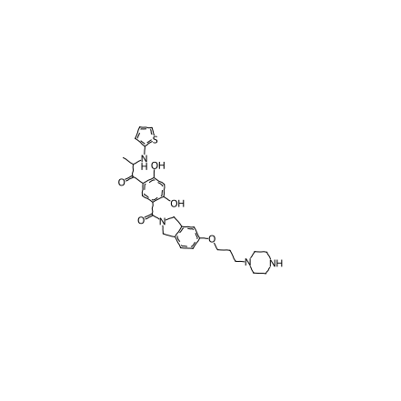 CC(Nc1cccs1)C(=O)c1cc(C(=O)N2Cc3ccc(OCCCN4CCNCC4)cc3C2)c(O)cc1O